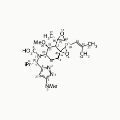 CNc1nnc([C@H](C(C)C)N(C(=O)O)[C@@H]2CC[C@]3(CO3)C([C@@]3(C)O[C@@H]3CC=C(C)C)[C@@H]2OC)s1